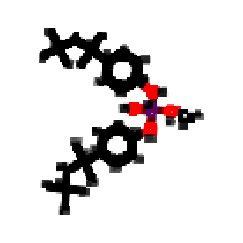 CC(C)(C)CC(C)(C)c1ccc(OP(=O)([O-])Oc2ccc(C(C)(C)CC(C)(C)C)cc2)cc1.[Ca+]